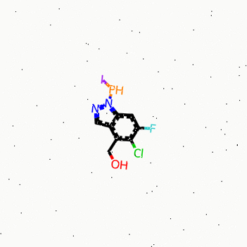 OCc1c(Cl)c(F)cc2c1cnn2PI